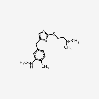 CNc1cc(Cc2cnc(SCCN(C)C)s2)ccc1C